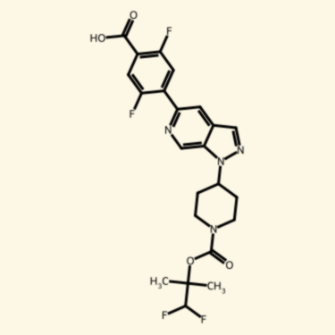 CC(C)(OC(=O)N1CCC(n2ncc3cc(-c4cc(F)c(C(=O)O)cc4F)ncc32)CC1)C(F)F